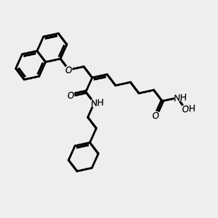 O=C(CCCCC=C(COc1cccc2ccccc12)C(=O)NCCC1=CCCCC1)NO